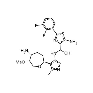 CO[C@H]1CO[C@H](c2c(NC(O)c3nc(-c4cccc(F)c4F)sc3N)cnn2C)CC[C@H]1N